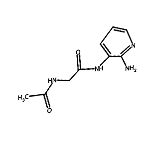 CC(=O)NCC(=O)Nc1cccnc1N